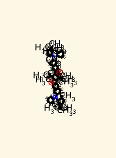 Cc1ccccc1N(c1ccc2cc3c(cc2c1)oc1c(C(C)(C)C)c2c(oc4cc5cc(N(c6ccccc6C)c6cc(C(C)(C)C)ccc6C)ccc5cc42)c(C(C)(C)C)c13)c1cc(C(C)(C)C)ccc1C